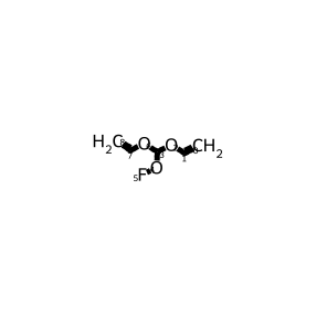 C=COC(OF)OC=C